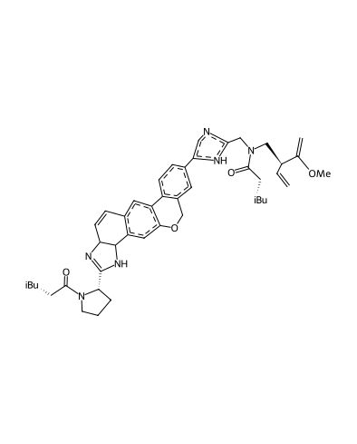 C=C[C@@H](CN(Cc1ncc(-c2ccc3c(c2)COc2cc4c(cc2-3)C=CC2N=C([C@@H]3CCCN3C(=O)C[C@@H](C)CC)NC42)[nH]1)C(=O)C[C@@H](C)CC)C(=C)OC